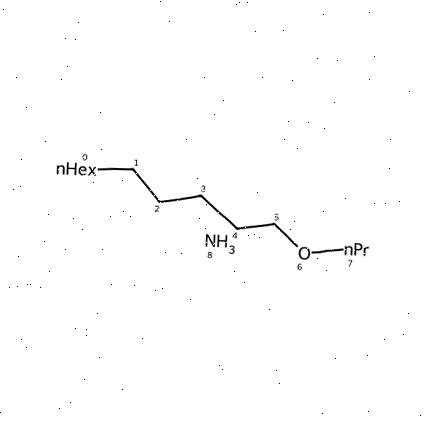 CCCCCCCCCCCOCCC.N